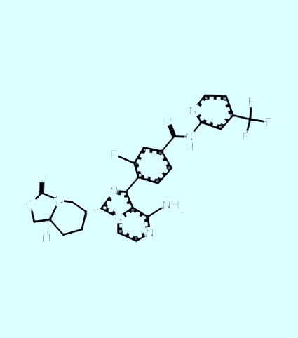 Nc1nccn2c([C@@H]3CC[C@H]4COC(=O)N4C3)nc(-c3ccc(C(=O)Nc4cc(C(F)(F)F)ccn4)cc3F)c12